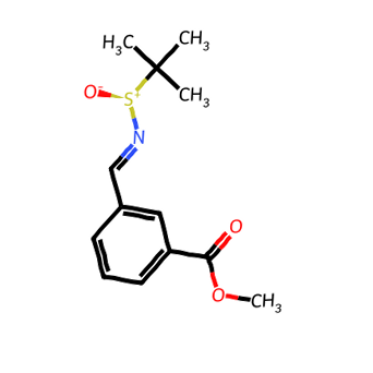 COC(=O)c1cccc(/C=N/[S@@+]([O-])C(C)(C)C)c1